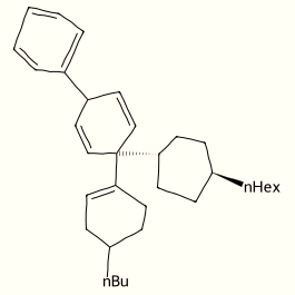 CCCCCC[C@H]1CC[C@H](C2(C3=CCC(CCCC)CC3)C=CC(c3ccccc3)C=C2)CC1